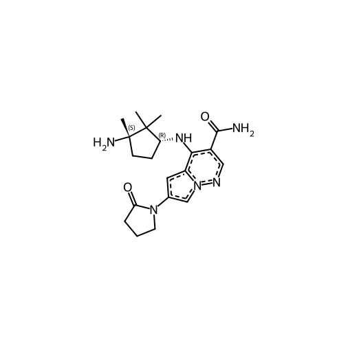 CC1(C)[C@H](Nc2c(C(N)=O)cnn3cc(N4CCCC4=O)cc23)CC[C@]1(C)N